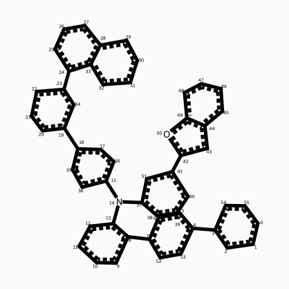 c1ccc(-c2ccc(-c3ccccc3N(c3ccc(-c4cccc(-c5cccc6ccccc56)c4)cc3)c3cccc(-c4cc5ccccc5o4)c3)cc2)cc1